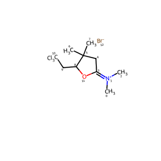 C[N+](C)=C1CC(C)(C)C(CC(Cl)(Cl)Cl)O1.[Br-]